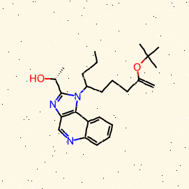 C=C(CCCC(CCC)n1c([C@@H](C)O)nc2cnc3ccccc3c21)OC(C)(C)C